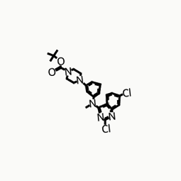 CN(c1cccc(N2CCN(C(=O)OC(C)(C)C)CC2)c1)c1nc(Cl)nc2cc(Cl)ccc12